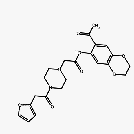 CC(=O)c1cc2c(cc1NC(=O)CN1CCN(C(=O)Cc3ccco3)CC1)OCCO2